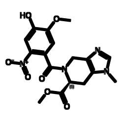 COC(=O)[C@@H]1Cc2c(ncn2C)CN1C(=O)c1cc(OC)c(O)cc1[N+](=O)[O-]